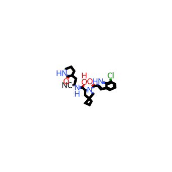 N#CC(CC1CCCNC1=O)NC(O)C1CC2(CCC2)CN1C(=O)c1cc2cccc(Cl)c2[nH]1